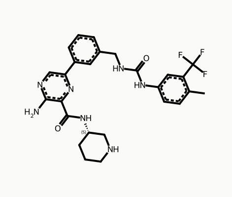 Cc1ccc(NC(=O)NCc2cccc(-c3cnc(N)c(C(=O)N[C@H]4CCCNC4)n3)c2)cc1C(F)(F)F